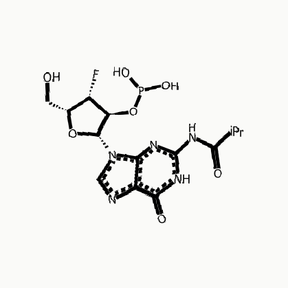 CC(C)C(=O)Nc1nc2c(ncn2[C@@H]2O[C@H](CO)[C@H](F)[C@H]2OP(O)O)c(=O)[nH]1